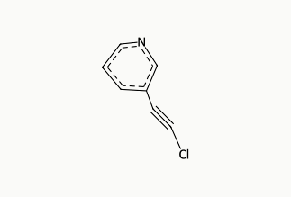 ClC#Cc1cccnc1